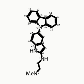 CNCCNc1cc2cc(-n3c4ccccc4c4ccccc43)ccc2[nH]1